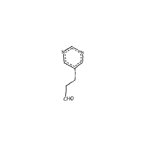 O=CCCc1cncnc1